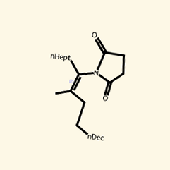 CCCCCCCCCCCC/C(C)=C(/CCCCCCC)N1C(=O)CCC1=O